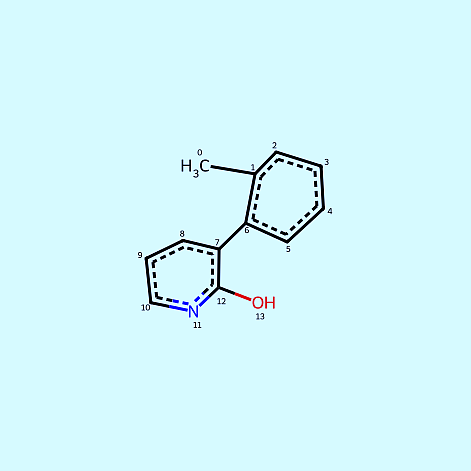 Cc1ccccc1-c1cccnc1O